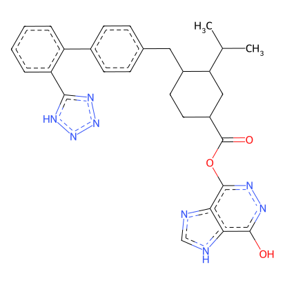 CC(C)C1CC(C(=O)Oc2nnc(O)c3[nH]cnc23)CCC1Cc1ccc(-c2ccccc2-c2nnn[nH]2)cc1